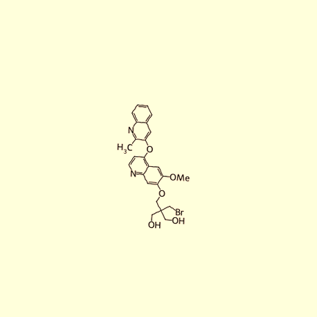 COc1cc2c(Oc3cc4ccccc4nc3C)ccnc2cc1OCC(CO)(CO)CBr